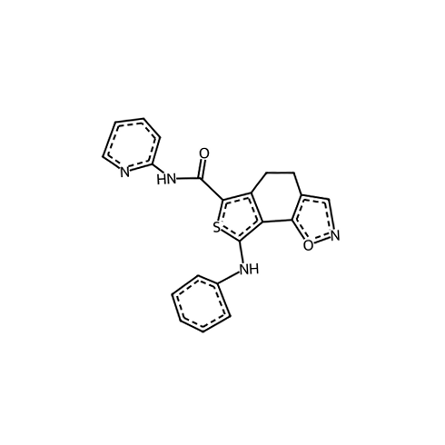 O=C(Nc1ccccn1)c1sc(Nc2ccccc2)c2c1CCc1cnoc1-2